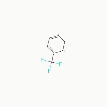 FC(F)(F)C1=CC=[C]C[C]1